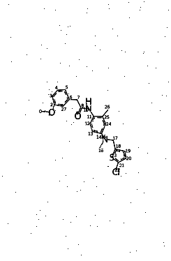 COc1cccc(CC(=O)Nc2ccc(N(C)Cc3ccc(Cl)s3)cc2C)c1